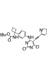 CC(C)(C)OC(=O)NC1(c2ccc(Nc3nc(Cl)nc(Cl)c3C#Cc3ccccn3)cc2)CCC1